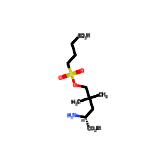 CCOC(=O)[C@H](N)CC(C)(C)COS(=O)(=O)CCCS(=O)(=O)O